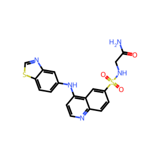 NC(=O)CNS(=O)(=O)c1ccc2nccc(Nc3ccc4scnc4c3)c2c1